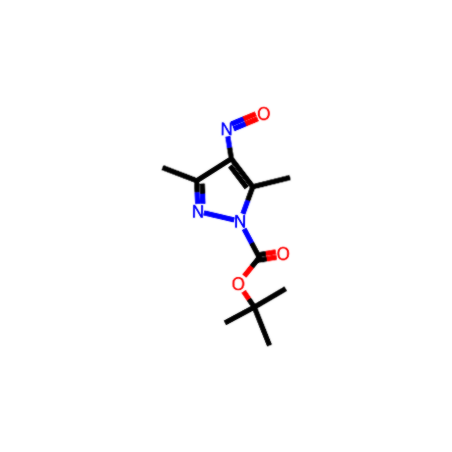 Cc1nn(C(=O)OC(C)(C)C)c(C)c1N=O